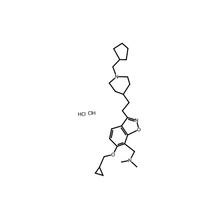 CN(C)Cc1c(OCC2CC2)ccc2c(CCC3CCN(CC4CCCC4)CC3)noc12.Cl.Cl